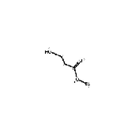 [CH2]COC(=O)CCO